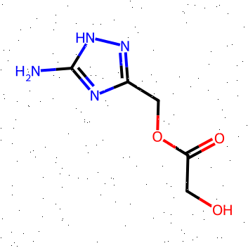 Nc1nc(COC(=O)CO)n[nH]1